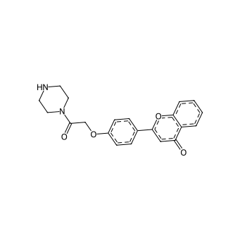 O=C(COc1ccc(-c2cc(=O)c3ccccc3o2)cc1)N1CCNCC1